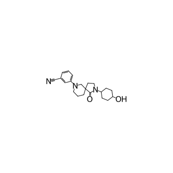 N#Cc1cccc(N2CCCC3(CCN(C4CCC(O)CC4)C3=O)C2)c1